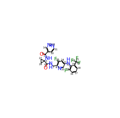 O=C(NC1(C(=O)NCc2ncc(Nc3c(F)cccc3C(F)(F)F)cc2F)CC1)c1ccnnc1